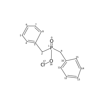 O=P(Cc1ccccc1)(Cc1ccccc1)OCl